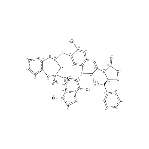 CCn1nnc2c(Cl)c([C@H](c3ccc(C)c(CN4Cc5cccnc5OC(C)(C)C4)c3)[C@@H](C)C(=O)N3C(=O)OC[C@H]3Cc3ccccc3)ccc21